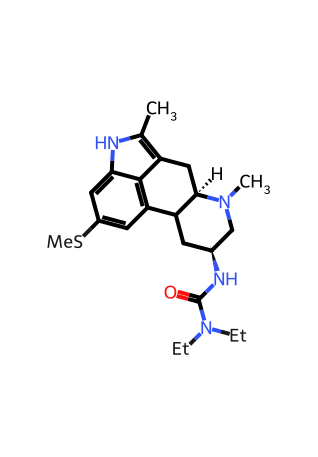 CCN(CC)C(=O)N[C@H]1CC2c3cc(SC)cc4[nH]c(C)c(c34)C[C@H]2N(C)C1